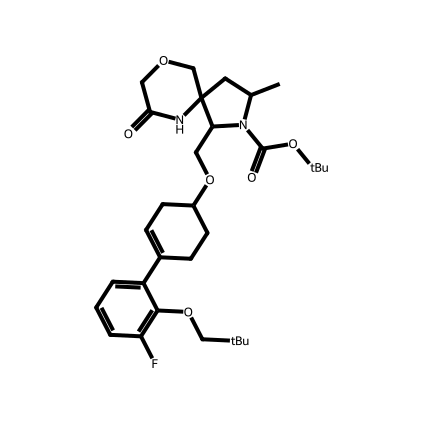 CC1CC2(COCC(=O)N2)C(COC2CC=C(c3cccc(F)c3OCC(C)(C)C)CC2)N1C(=O)OC(C)(C)C